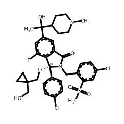 CN1CCC(C(C)(O)c2cc(F)c3c(c2)C(=O)N(Cc2ccc(Cl)cc2S(C)(=O)=O)[C@@]3(OCC2(CO)CC2)c2ccc(Cl)cc2)CC1